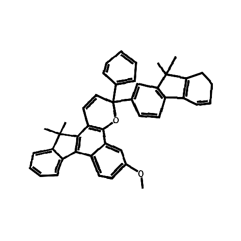 COc1ccc2c3c(c4c(c2c1)OC(c1ccccc1)(c1ccc2c(c1)C(C)(C)C1=C2C=CCC1)C=C4)C(C)(C)c1ccccc1-3